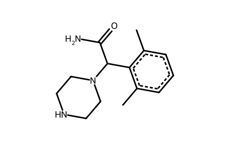 Cc1cccc(C)c1C(C(N)=O)N1CCNCC1